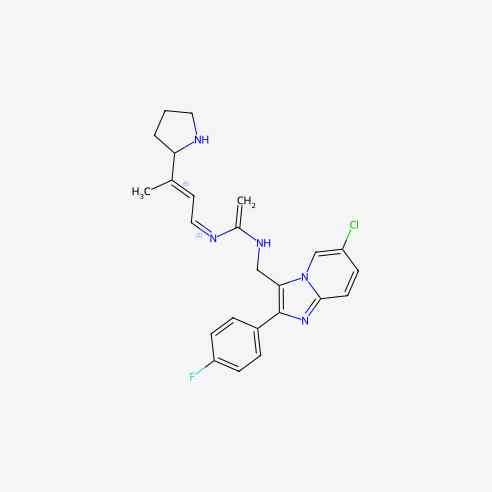 C=C(/N=C\C=C(/C)C1CCCN1)NCc1c(-c2ccc(F)cc2)nc2ccc(Cl)cn12